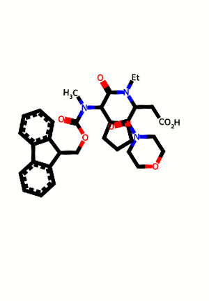 CCN(C(=O)C(C1CCCC1)N(C)C(=O)OCC1c2ccccc2-c2ccccc21)C(CC(=O)O)C(=O)N1CCOCC1